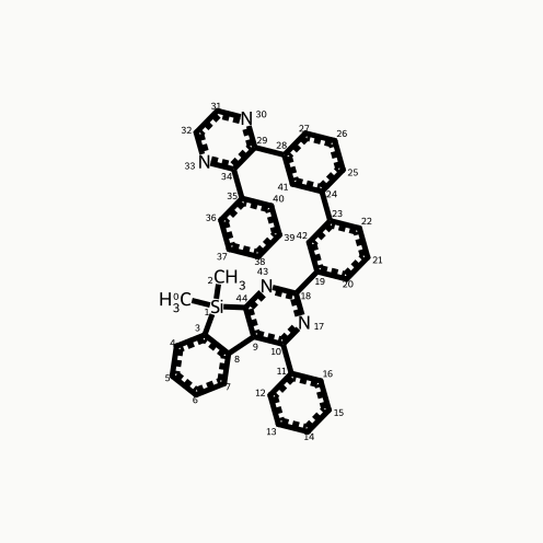 C[Si]1(C)c2ccccc2-c2c(-c3ccccc3)nc(-c3cccc(-c4cccc(-c5nccnc5-c5ccccc5)c4)c3)nc21